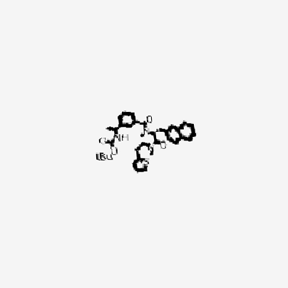 CC(NC(=O)OC(C)(C)C)c1cccc(C(=O)N(C)[C@H](Cc2ccc3ccccc3c2)C(=O)N(C)CCc2cccs2)c1